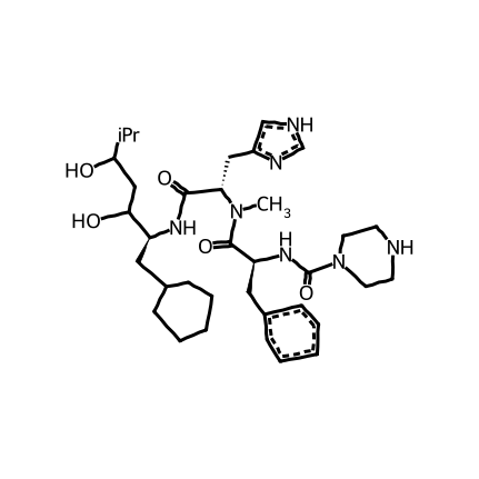 CC(C)C(O)CC(O)[C@H](CC1CCCCC1)NC(=O)[C@H](Cc1c[nH]cn1)N(C)C(=O)[C@H](Cc1ccccc1)NC(=O)N1CCNCC1